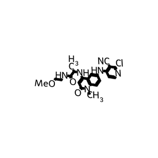 COCCNC(=O)C(C)Nc1cc(=O)n(C)c2ccc(Nc3ccnc(Cl)c3C#N)cc12